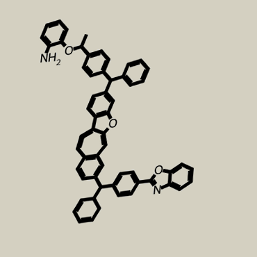 CC(Oc1ccccc1N)c1ccc(C(c2ccccc2)c2ccc3c4c(oc3c2)=Cc2cc(C(c3ccc(-c5nc6ccccc6o5)cc3)C3C=CC=CC3)ccc2C=C=4)cc1